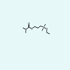 CCO[Si](C)(C)CCCSC(=O)N(C)C